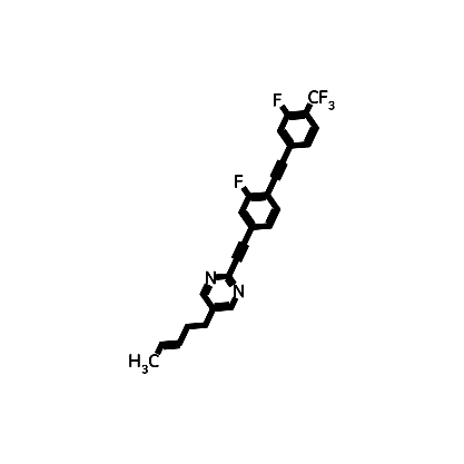 C/C=C/CCc1cnc(C#Cc2ccc(C#Cc3ccc(C(F)(F)F)c(F)c3)c(F)c2)nc1